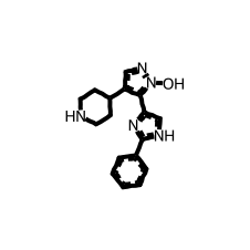 On1ncc(C2CCNCC2)c1-c1c[nH]c(-c2ccccc2)n1